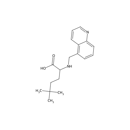 CC(C)(C)CCC(NCc1cccc2ncccc12)C(=O)O